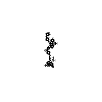 O=C(c1ccc(CCNC[C@H](O)c2ccc(O)c3[nH]c(=O)ccc23)cc1)N1CC=C(c2cccc([C@](O)(C(=O)OCC3CCN(Cc4ccccc4)CC3)c3ccccc3)c2)C1